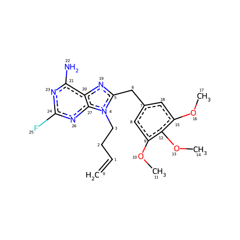 C=CCCn1c(Cc2cc(OC)c(OC)c(OC)c2)nc2c(N)nc(F)nc21